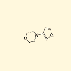 [c]1occc1N1CCOCC1